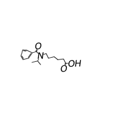 CC(C)N(CCCCCC(=O)O)C(=O)c1ccccc1